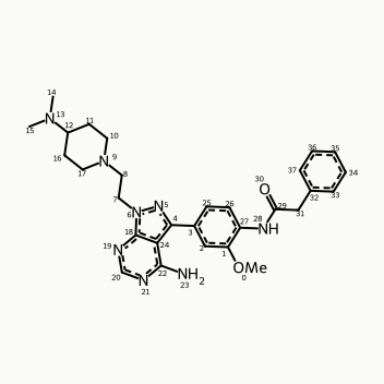 COc1cc(-c2nn(CCN3CCC(N(C)C)CC3)c3ncnc(N)c23)ccc1NC(=O)Cc1ccccc1